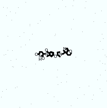 O=C1CCC(N2Cc3cc(O[C@H]4CCN(Cc5cncc6c5CCCO6)C4)ccc3C2=O)C(=O)N1